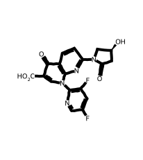 O=C(O)c1cn(-c2ncc(F)cc2F)c2nc(N3C[C@@H](O)CC3=O)ccc2c1=O